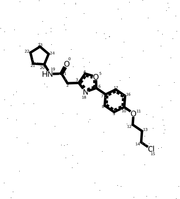 O=C(Cc1coc(-c2ccc(OCCCCl)cc2)n1)NC1CCCC1